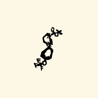 CC(C)(C)OC(=O)N1CCCN(c2ccc(OC(F)(F)F)cc2)CC1